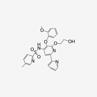 COc1ccccc1Oc1c(NS(=O)(=O)c2ccc(C)cn2)cc(-c2ccccn2)nc1OCCO